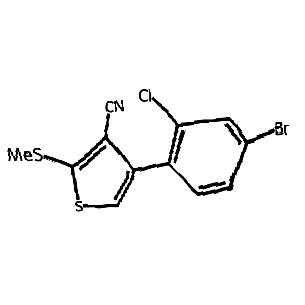 CSc1scc(-c2ccc(Br)cc2Cl)c1C#N